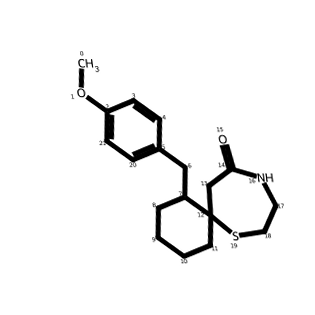 COc1ccc(CC2CCCCC23CC(=O)NCCS3)cc1